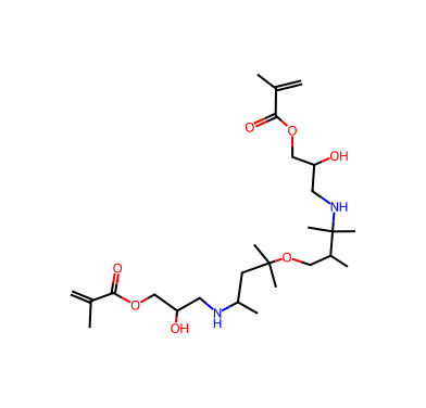 C=C(C)C(=O)OCC(O)CNC(C)CC(C)(C)OCC(C)C(C)(C)NCC(O)COC(=O)C(=C)C